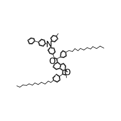 CCCCCCCCCCCCc1ccc(-c2c(C)oc3ccc4c(ccc5oc(-c6ccc(N(c7ccc(C)cc7)c7ccc(-c8ccccc8)cc7)cc6)c(-c6ccc(CCCCCCCCCCCC)cc6)c54)c23)cc1